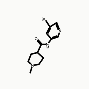 CN1CCC(C(=O)Nc2cncc(Br)c2)CC1